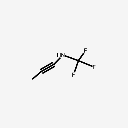 CC#CNC(F)(F)F